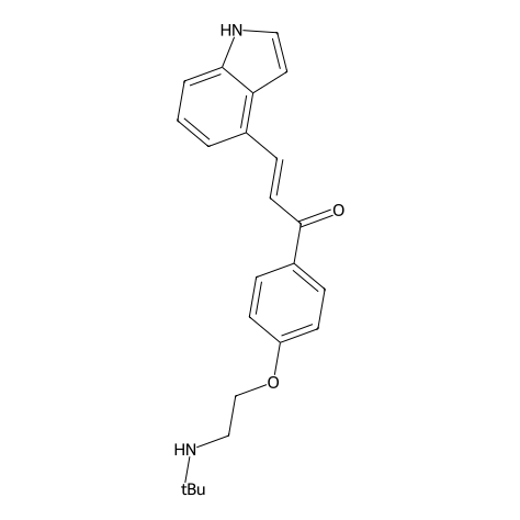 CC(C)(C)NCCOc1ccc(C(=O)C=Cc2cccc3[nH]ccc23)cc1